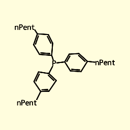 CCCCCc1ccc(P(c2ccc(CCCCC)cc2)c2ccc(CCCCC)cc2)cc1